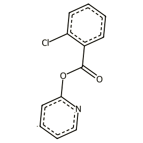 O=C(Oc1c[c]ccn1)c1ccccc1Cl